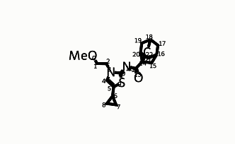 COCCn1cc(C2CC2)sc1=NC(=O)C12CC3CC(CC1C3)C2